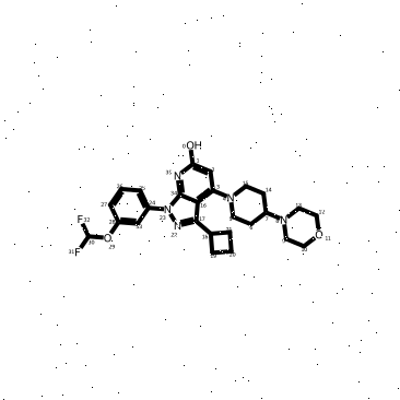 Oc1cc(N2CCC(N3CCOCC3)CC2)c2c(C3CCC3)nn(-c3cccc(OC(F)F)c3)c2n1